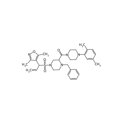 C=CC(c1c(C)noc1C)S(=O)(=O)N1CCN(Cc2ccccc2)C(C(=O)N2CCN(c3cc(C)ccc3C)CC2)C1